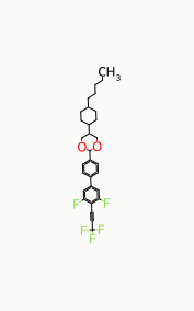 CCCCCC1CCC(C2COC(c3ccc(-c4cc(F)c(C#CC(F)(F)F)c(F)c4)cc3)OC2)CC1